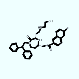 O=C(NC[C@@H]1CCN(CC(c2ccccc2)c2ccccc2)C(=O)[C@H](CCNCCO)N1)c1ccc2cc(Cl)ccc2c1